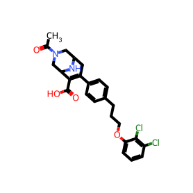 CC(=O)N1CC2CC(c3ccc(CCCOc4cccc(Cl)c4Cl)cc3)=C(C(=O)O)C(C1)N2